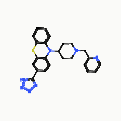 c1ccc(CN2CCC(N3c4ccccc4Sc4cc(-c5nnn[nH]5)ccc43)CC2)nc1